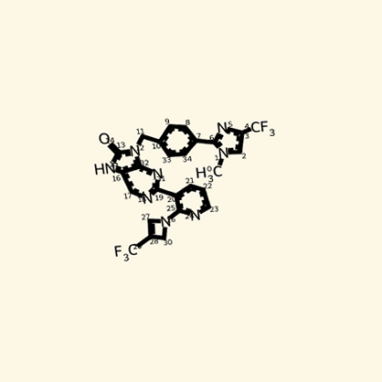 Cn1cc(C(F)(F)F)nc1-c1ccc(Cn2c(=O)[nH]c3cnc(-c4cccnc4N4C=C(C(F)(F)F)C4)nc32)cc1